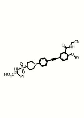 CC(C)Oc1ccc(C#Cc2ccc(N3CCN(S(=O)(=O)N[C@@H](C(=O)O)C(C)C)CC3)cc2)cc1C(=O)NCC#N